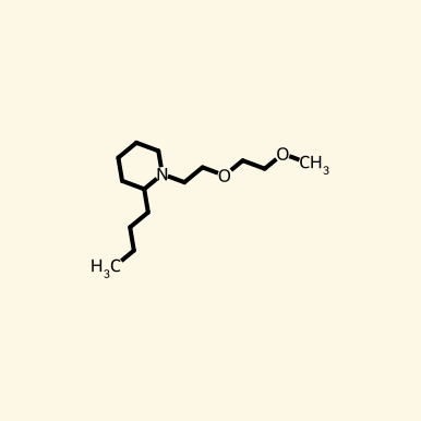 CCCCC1CCCCN1CCOCCOC